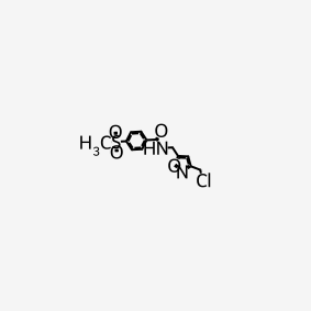 CS(=O)(=O)c1ccc(C(=O)NCc2cc(CCl)no2)cc1